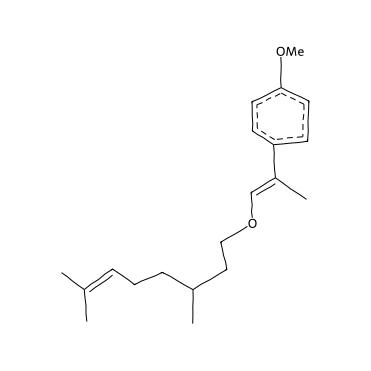 COc1ccc(/C(C)=C/OCCC(C)CCC=C(C)C)cc1